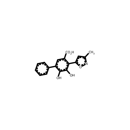 Cc1cc(-c2c(C(=O)O)cc(-c3ccccc3)c(O)c2O)on1